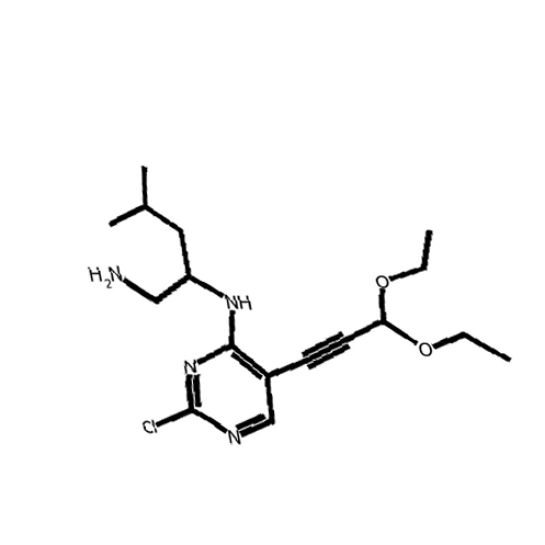 CCOC(C#Cc1cnc(Cl)nc1NC(CN)CC(C)C)OCC